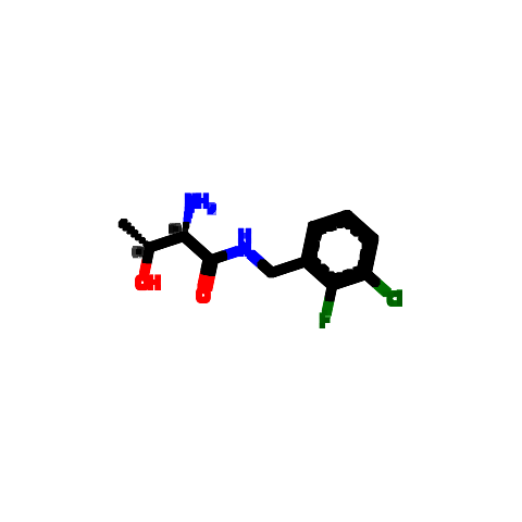 C[C@@H](O)[C@H](N)C(=O)NCc1cccc(Cl)c1F